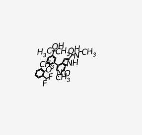 CCNC(=O)c1cc2c(-c3cc(C(C)(C)O)ccc3Oc3c(C)cccc3C(F)F)cn(C)c(=O)c2[nH]1